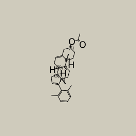 CC(=O)O[C@H]1CC[C@@]2(C)C(=CC[C@@H]3[C@@H]2CC[C@]2(C)C(c4c(C)cccc4C)=CC[C@@H]32)C1